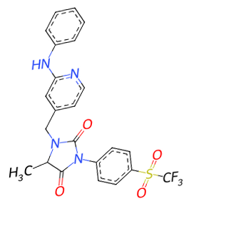 CC1C(=O)N(c2ccc(S(=O)(=O)C(F)(F)F)cc2)C(=O)N1Cc1ccnc(Nc2ccccc2)c1